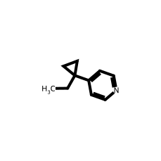 CCC1(c2ccncc2)CC1